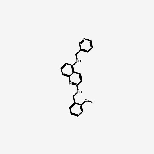 COc1ccccc1CNc1ccc2c(NCc3cccnc3)cccc2n1